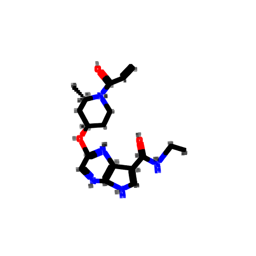 C=CC(=O)N1CC[C@@H](Oc2cnc3[nH]cc(C(=O)NCC)c3n2)C[C@@H]1C